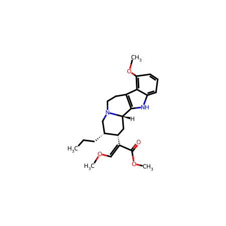 CCC[C@@H]1CN2CCc3c([nH]c4cccc(OC)c34)[C@@H]2C[C@@H]1/C(=C\OC)C(=O)OC